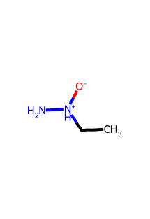 CC[NH+](N)[O-]